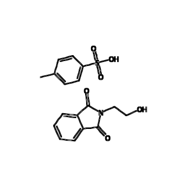 Cc1ccc(S(=O)(=O)O)cc1.O=C1c2ccccc2C(=O)N1CCO